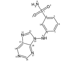 NS(=O)(=O)c1cccc(Nn2cnc3cncnc32)c1